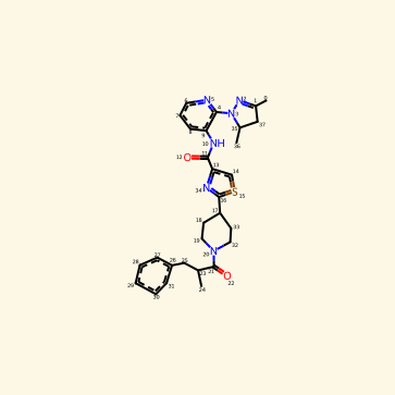 CC1=NN(c2ncccc2NC(=O)c2csc(C3CCN(C(=O)C(C)Cc4ccccc4)CC3)n2)C(C)C1